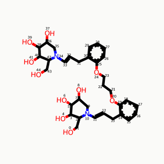 OCC1C(O)C(O)C(O)CN1C=CCc1ccccc1OCCCOc1ccccc1CC=CN1CC(O)C(O)C(O)C1CO